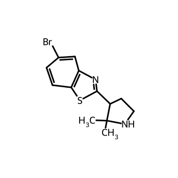 CC1(C)NCCC1c1nc2cc(Br)ccc2s1